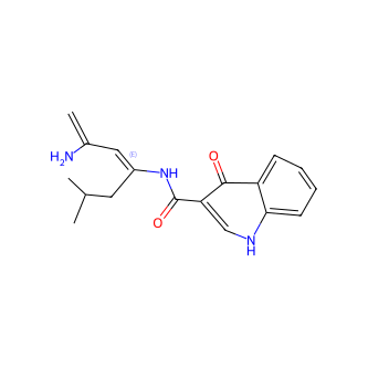 C=C(N)/C=C(\CC(C)C)NC(=O)c1c[nH]c2ccccc2c1=O